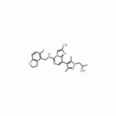 Cc1nn(CC(C)O)c(C)c1-c1cnc(NCc2c(F)ccc3c2CCO3)n2cc(C#N)nc12